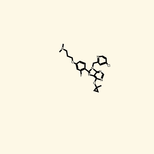 CN(C)CCCOc1ccc(-c2nc3c(OC4(C)CC4)ncnc3n2Cc2cc(Cl)ccn2)c(F)c1